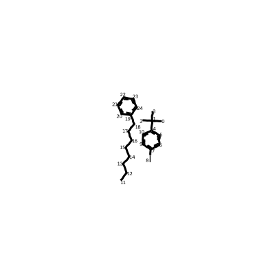 CC(C)(C)c1ccc(I)cc1.CCCCCCCCc1ccccc1